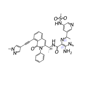 C=N/C(N)=C(\N=C(/C)c1cncc(NS(C)(=O)=O)c1)C(=O)N[C@H](C)c1cc2cccc(C#Cc3cnn(C)c3)c2c(=O)n1-c1ccccc1